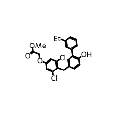 CCc1cccc(-c2cc(Cc3c(Cl)cc(OCC(=O)OC)cc3Cl)ccc2O)c1